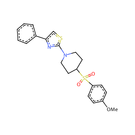 COc1ccc(S(=O)(=O)C2CCN(c3nc(-c4ccccc4)cs3)CC2)cc1